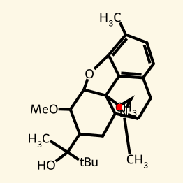 COC1C(C(C)(O)C(C)(C)C)CC2(C)C3Cc4ccc(C)c5c4C2(CCN3C)C1O5